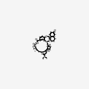 C[C@@H]1[C@@H](C)CCC[C@@](O)(CC(=O)N(C)C)[C@@H]2CC[C@H]2CN2C[C@@]3(CCCc4cc(Cl)ccc43)COc3ccc(cc32)C(=O)NS1(=O)=O